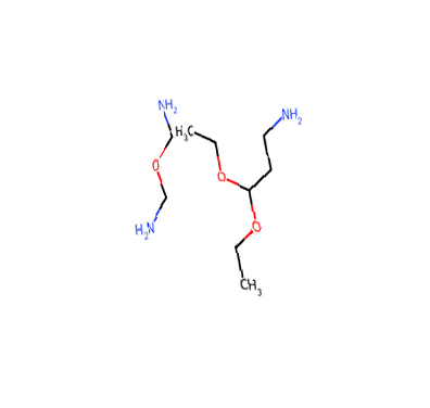 CCOC(CCN)OCC.NCOCN